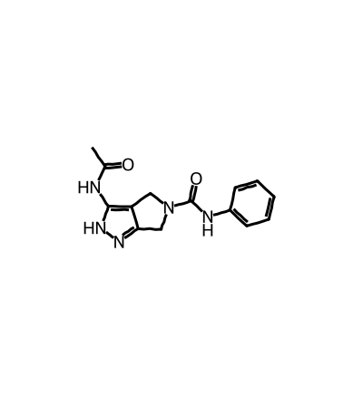 CC(=O)Nc1[nH]nc2c1CN(C(=O)Nc1ccccc1)C2